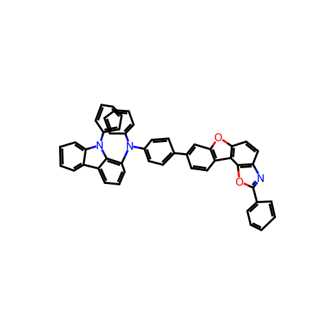 c1ccc(-c2nc3ccc4oc5cc(-c6ccc(N(c7ccccc7)c7cccc8c9ccccc9n(-c9ccccc9)c78)cc6)ccc5c4c3o2)cc1